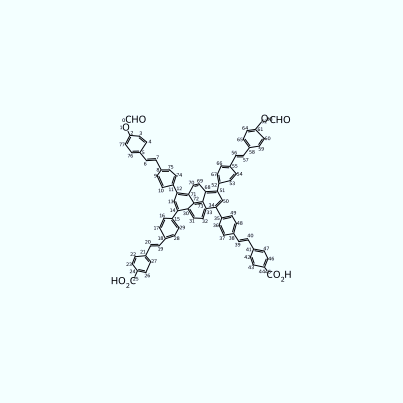 O=COc1ccc(/C=C/c2ccc(-c3cc(-c4ccc(/C=C/c5ccc(C(=O)O)cc5)cc4)c4ccc5c(-c6ccc(/C=C/c7ccc(C(=O)O)cc7)cc6)cc(-c6ccc(/C=C/c7ccc(OC=O)cc7)cc6)c6ccc3c4c65)cc2)cc1